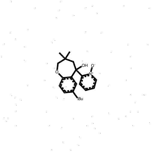 CCC(C)c1ccc2c(c1)C(O)(c1cccc[n+]1[O-])CC(C)(C)CO2